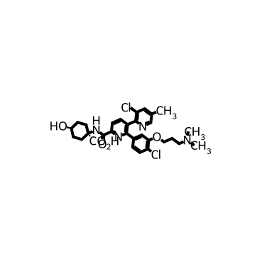 Cc1cnc(-c2ccc(C(=O)N[C@]3(C(=O)O)CC[C@H](O)CC3)nc2-c2ccc(Cl)c(OCCCN(C)C)c2)c(Cl)c1